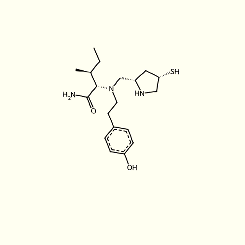 CC[C@H](C)[C@@H](C(N)=O)N(CCc1ccc(O)cc1)C[C@@H]1C[C@H](S)CN1